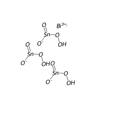 [Bi+3].[O]=[Sn]([O-])[O]O.[O]=[Sn]([O-])[O]O.[O]=[Sn]([O-])[O]O